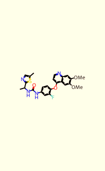 COc1cc2nccc(Oc3ccc(NC(=O)NC(C)c4ncc(C)s4)cc3F)c2cc1OC